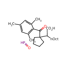 CCCCCCCCC(C(=O)O)C1(C(=O)c2c(C)cc(C)cc2C)CCCC1.O=P